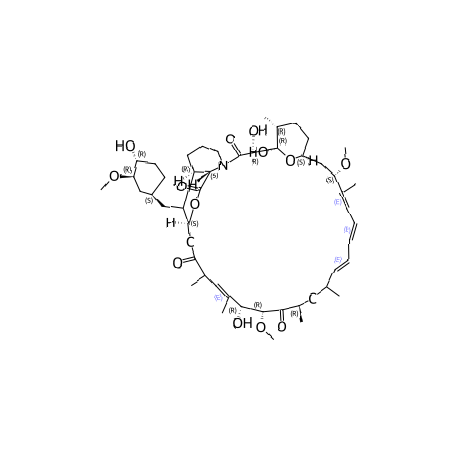 CO[C@H]1C[C@@H]2CC[C@@H](C)[C@@](O)(O2)[C@@H](O)C(=O)N2CCC[C@@H]3C(C[C@@H]4CC[C@@H](O)[C@H](OC)C4)[C@H](CC(=O)C(C)/C=C(\C)[C@@H](O)[C@@H](OC)C(=O)[C@H](C)CC(C)/C=C/C=C/C=C/1C)OC(=O)[C@H]32